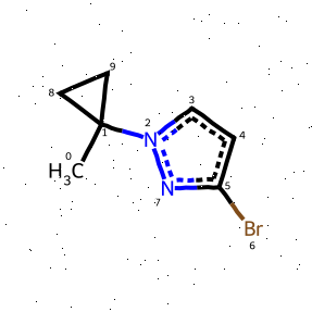 CC1(n2ccc(Br)n2)CC1